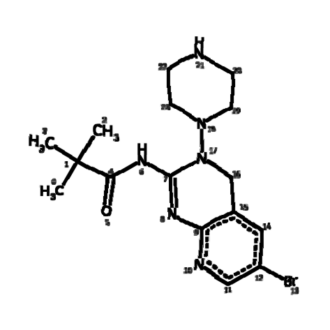 CC(C)(C)C(=O)NC1=Nc2ncc(Br)cc2CN1N1CCNCC1